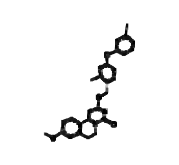 COc1ccc2c(c1)CCn1c-2cc(OCc2ccc(Oc3cccc(C)c3)cc2C)nc1=O